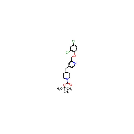 CC(C)(C)OC(=O)N1CCC(Cc2ccnc(COc3ccc(Cl)cc3Cl)c2)CC1